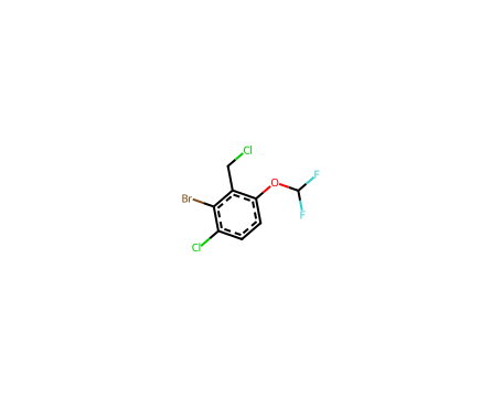 FC(F)Oc1ccc(Cl)c(Br)c1CCl